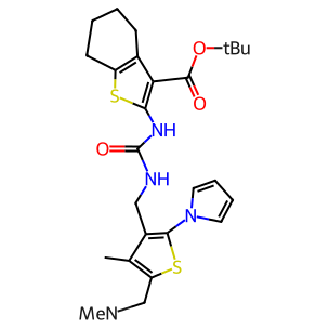 CNCc1sc(-n2cccc2)c(CNC(=O)Nc2sc3c(c2C(=O)OC(C)(C)C)CCCC3)c1C